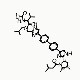 COC(=O)N[C@H](C(=O)N(Cc1nc(-c2ccc(-c3ccc(-c4c[nH]c([C@@H]5C[C@@H](C)[C@@H](C)N5C(=O)CC(C)C)n4)cc3)cc2)c[nH]1)CC(C)C)C(C)C